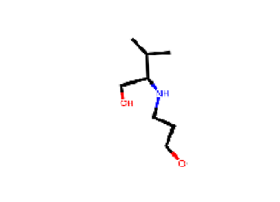 CC(C)C(CO)NCCC[O]